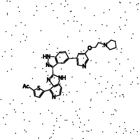 CC(=O)c1ccc(-c2nccc3[nH]c(-c4n[nH]c5ccc(-c6cncc(OCCN7CCCC7)c6)cc45)nc23)s1